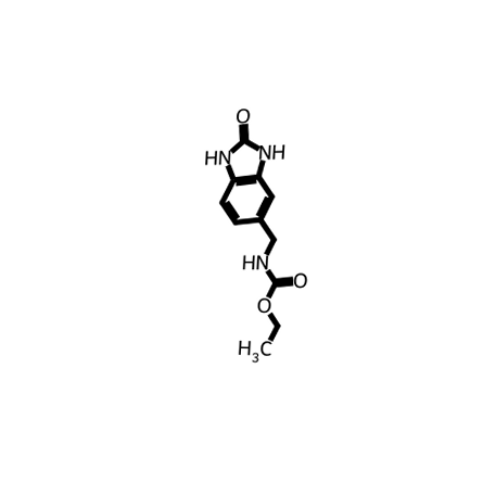 CCOC(=O)NCc1ccc2[nH]c(=O)[nH]c2c1